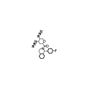 [N-]=[N+]=NC1CO[C@@H](C(=O)N2CCc3ccccc3[C@@H]2c2ccc(F)cc2)CC1N=[N+]=[N-]